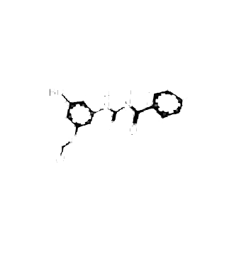 CCOc1cc(Br)cc(NC(=S)NC(=O)c2ccccc2)c1